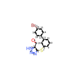 O=Cc1[nH]nnc1Sc1cccc(-c2ccc(Br)cc2)c1